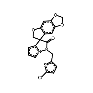 O=C1N(Cc2ccc(Cl)s2)n2cccc2C12COc1cc3c(cc12)OCO3